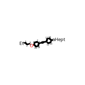 CCC=CCOc1ccc(C#Cc2ccc(CCCCCCC)cc2)cc1